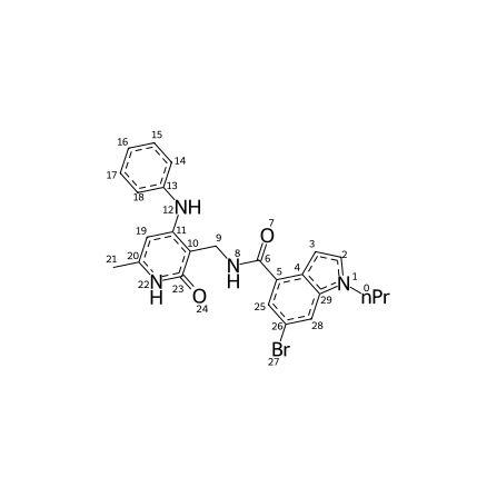 CCCn1ccc2c(C(=O)NCc3c(Nc4ccccc4)cc(C)[nH]c3=O)cc(Br)cc21